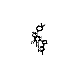 Cc1cc([C@@H]2CC[C@H]2c2nc3c(cnn3C3CCC(C)(F)CC3)c(=O)[nH]2)on1